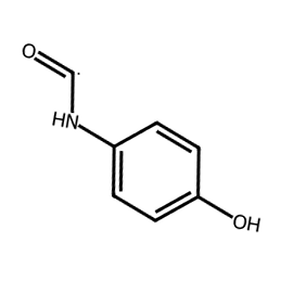 O=[C]Nc1ccc(O)cc1